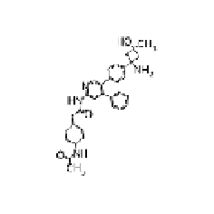 CC(=O)NC1CCC(CC(=O)Nc2cc(-c3ccccc3)c(-c3ccc([C@]4(N)C[C@](C)(O)C4)cc3)cn2)CC1